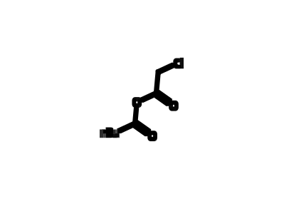 [CH2]CCCC(=O)OC(=O)CCl